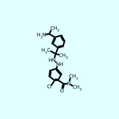 CC(N)c1cccc(C(C)(C)NNc2ccc(Cl)c(C(=O)N(C)C)c2)c1